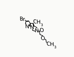 CCCOCCC(=O)N1CCn2c(c(C)c3cc(Br)cnc32)C1